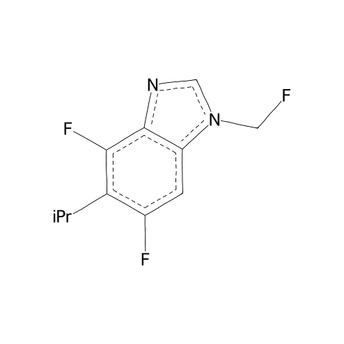 CC(C)c1c(F)cc2c(ncn2CF)c1F